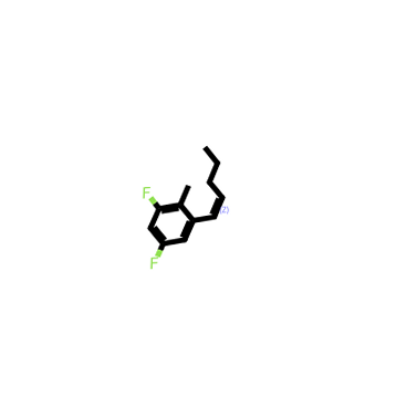 CCC/C=C\c1cc(F)cc(F)c1C